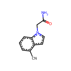 N#Cc1cccc2c1ccn2CC(N)=O